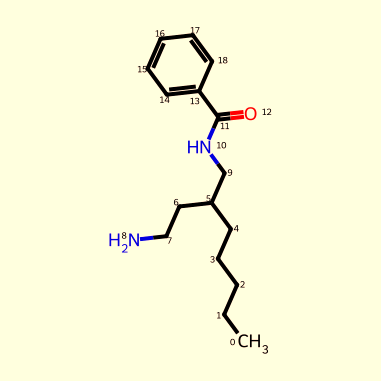 CCCCCC(CCN)CNC(=O)c1ccccc1